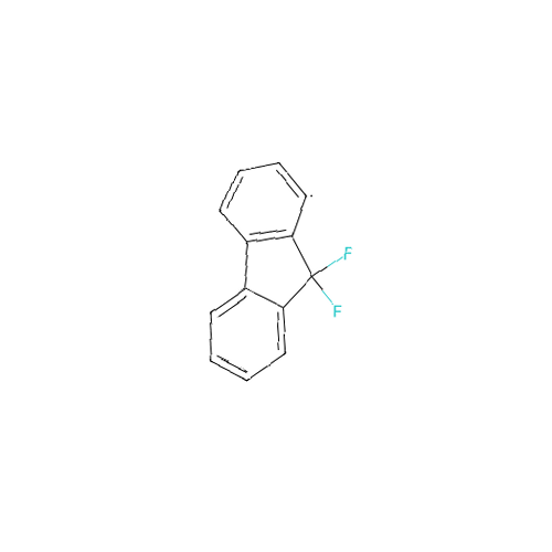 FC1(F)c2[c]cccc2-c2ccccc21